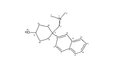 CN(C)CC1(c2ccc3ccccc3c2)CCC(O)CC1